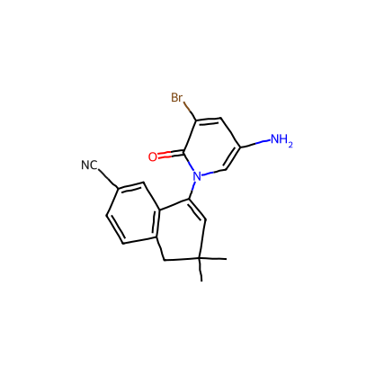 CC1(C)C=C(n2cc(N)cc(Br)c2=O)c2cc(C#N)ccc2C1